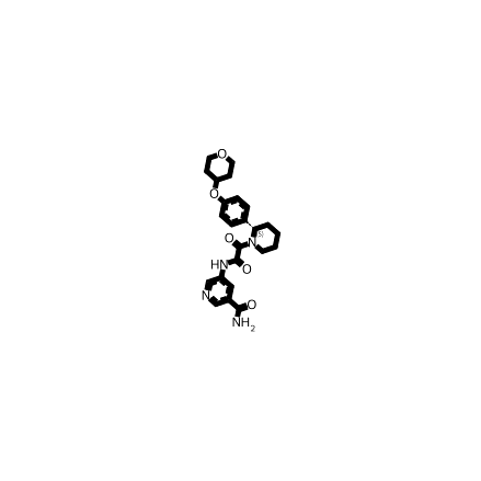 NC(=O)c1cncc(NC(=O)C(=O)N2CCCC[C@H]2c2ccc(OC3CCOCC3)cc2)c1